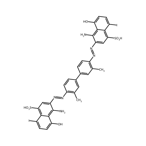 Cc1cc(-c2ccc(N=Nc3cc(S(=O)(=O)O)c4c(I)ccc(O)c4c3N)c(C)c2)ccc1N=Nc1cc(S(=O)(=O)O)c2c(I)ccc(O)c2c1N